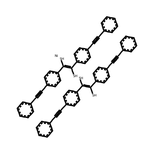 SC(=C(S)c1ccc(C#Cc2ccccc2)cc1)c1ccc(C#Cc2ccccc2)cc1.SC(=C(S)c1ccc(C#Cc2ccccc2)cc1)c1ccc(C#Cc2ccccc2)cc1.[Ni]